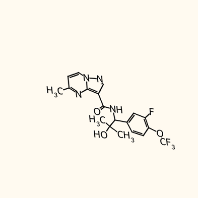 Cc1ccn2ncc(C(=O)NC(c3ccc(OC(F)(F)F)c(F)c3)C(C)(C)O)c2n1